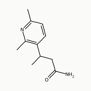 Cc1ccc(C(C)CC(N)=O)c(C)n1